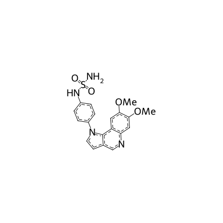 COc1cc2ncc3ccn(-c4ccc(NS(N)(=O)=O)cc4)c3c2cc1OC